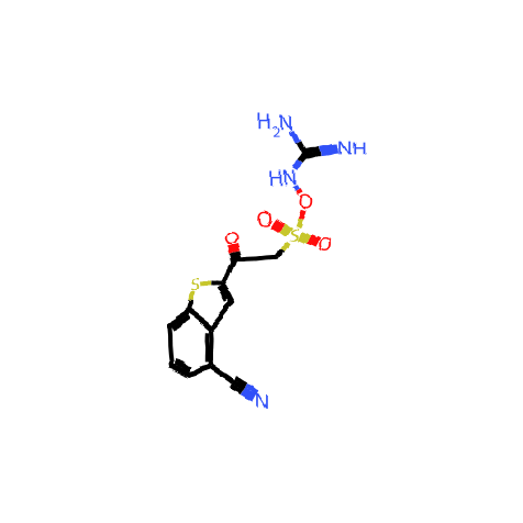 N#Cc1cccc2sc(C(=O)CS(=O)(=O)ONC(=N)N)cc12